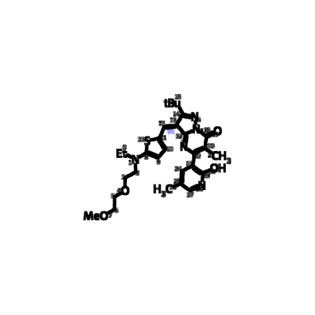 CCN(CCOCCOC)c1ccc(/C=c2/c(C(C)(C)C)nn3c(=O)c(C)c(-c4cc(C)cnc4O)nc23)s1